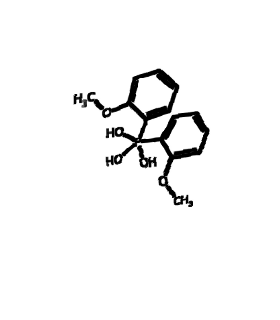 COc1ccccc1P(O)(O)(O)c1ccccc1OC